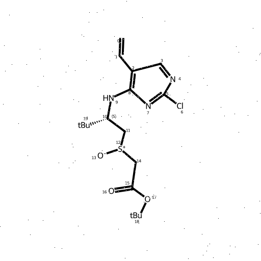 C=Cc1cnc(Cl)nc1N[C@H](C[S+]([O-])CC(=O)OC(C)(C)C)C(C)(C)C